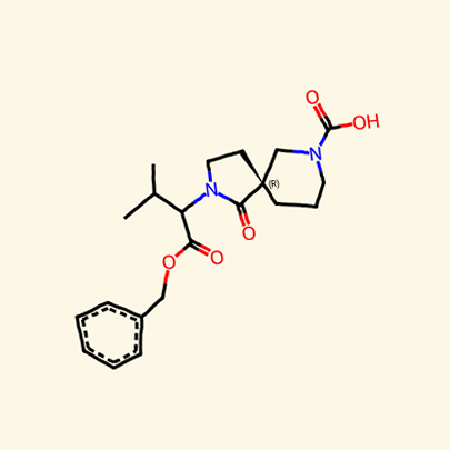 CC(C)C(C(=O)OCc1ccccc1)N1CC[C@@]2(CCCN(C(=O)O)C2)C1=O